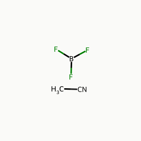 CC#N.FB(F)F